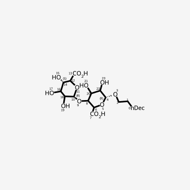 CCCCCCCCCCCCO[C@@H]1OC(C(=O)O)C(O[C@@H]2OC(C(=O)O)[C@@H](O)C(O)C2O)C(O)C1O